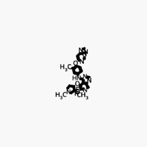 COc1ncc2ncnc(Nc3ccc(Oc4cc5ncnn5cn4)c(C)c3)c2c1O[C@H]1CCN(C)CC1(F)F